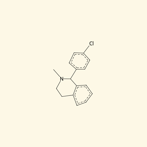 CN1CCc2ccccc2C1c1ccc(Cl)cc1